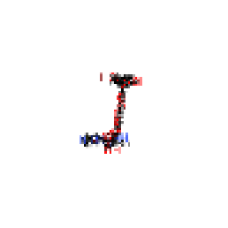 Cc1ncsc1-c1ccc(CNC(=O)[C@@H]2C[C@@H](O)CN2C(=O)[C@@H](NC(=O)COCCOCCOCCOCCOCCCC[C@@H]2Cc3cc(O)ccc3[C@H]3CC[C@]4(C)[C@@H](O)CC[C@H]4[C@H]23)C(C)(C)C)cc1